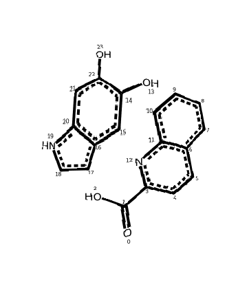 O=C(O)c1ccc2ccccc2n1.Oc1cc2cc[nH]c2cc1O